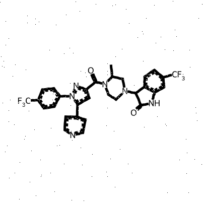 CC1CN(C2C(=O)Nc3cc(C(F)(F)F)ccc32)CCN1C(=O)c1cc(-c2ccncc2)n(-c2ccc(C(F)(F)F)cc2)n1